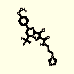 COc1ccc(-c2cc(C(F)(F)F)n3nc(C(=O)NCCCn4ccnc4)c(Cl)c3n2)cc1